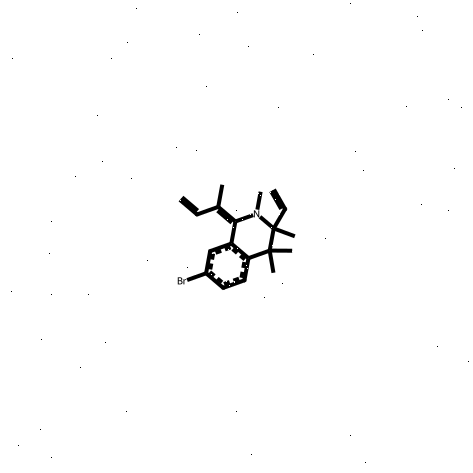 C=C/C(C)=C1\c2cc(Br)ccc2C(C)(C)C(C)(C=C)N1C